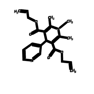 C=CCOC(=O)C1=C(C)N(C)C(C)=C(C(=O)OCC=C)C1c1cccnc1